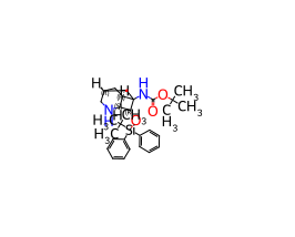 CC(C)(C)OC(=O)NC12C[C@@H]3CN[C@@H]([C@H]1C3)[C@H]2O[Si](c1ccccc1)(c1ccccc1)C(C)(C)C